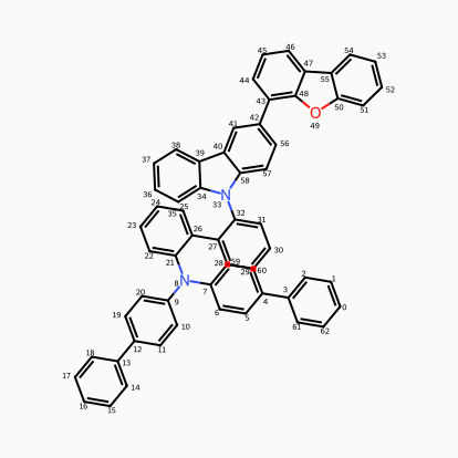 c1ccc(-c2ccc(N(c3ccc(-c4ccccc4)cc3)c3ccccc3-c3ccccc3-n3c4ccccc4c4cc(-c5cccc6c5oc5ccccc56)ccc43)cc2)cc1